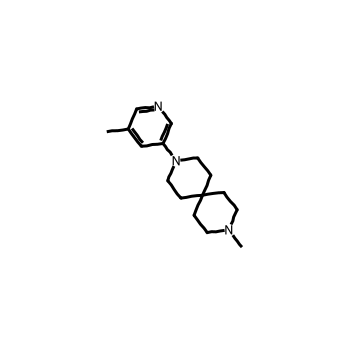 Cc1cncc(N2CCC3(CCN(C)CC3)CC2)c1